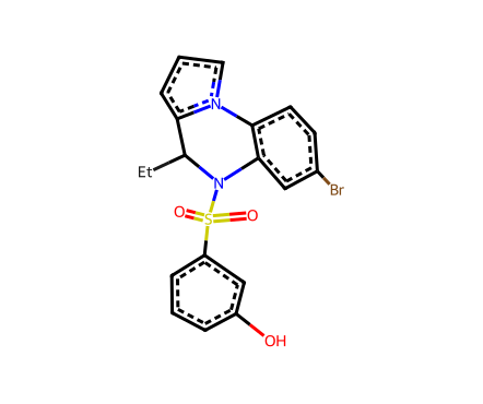 CCC1c2cccn2-c2ccc(Br)cc2N1S(=O)(=O)c1cccc(O)c1